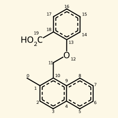 Cc1ccc2ccccc2c1COc1ccccc1C(=O)O